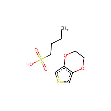 CCCCS(=O)(=O)O.c1scc2c1OCCO2